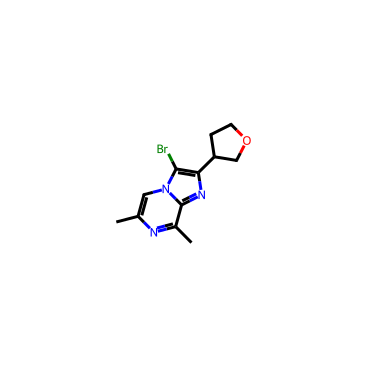 Cc1cn2c(Br)c(C3CCOC3)nc2c(C)n1